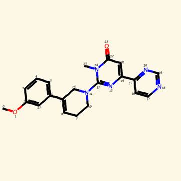 COc1cccc(C2=CCCN(c3nc(-c4ccncn4)cc(=O)n3C)C2)c1